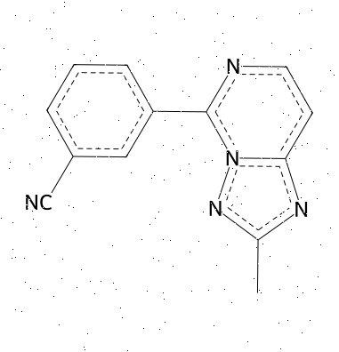 Cc1nc2ccnc(-c3cccc(C#N)c3)n2n1